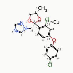 C[C@H]1CO[C@](Cn2cncn2)(c2ccc(Oc3ccc(Cl)cc3)cc2Cl)O1.[Cu]